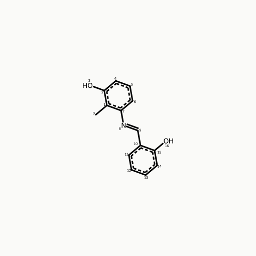 Cc1c(O)cccc1N=Cc1ccccc1O